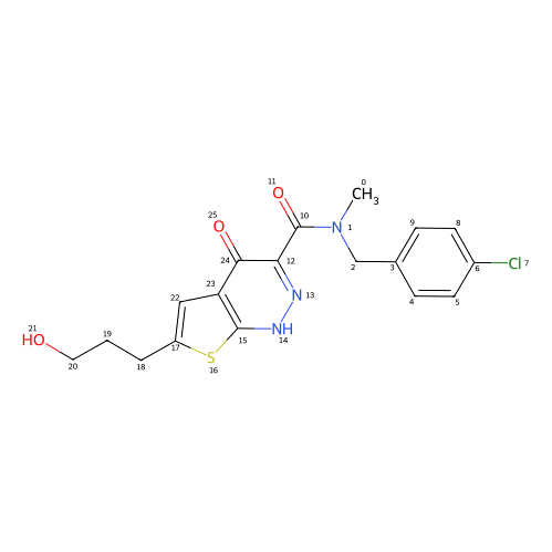 CN(Cc1ccc(Cl)cc1)C(=O)c1n[nH]c2sc(CCCO)cc2c1=O